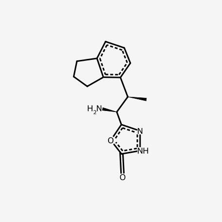 C[C@H](c1cccc2c1CCC2)[C@H](N)c1n[nH]c(=O)o1